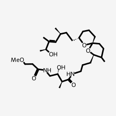 COCCC(=O)NC[C@H](O)[C@H](C)C(=O)NCCC[C@H]1O[C@@]2(CCC[C@@H](CC[C@H](C)/C=C(\C)[C@H](C)O)O2)CCC1C